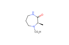 C[C@@H]1C(=O)NCCCN1C(=O)O